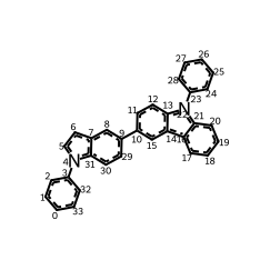 c1ccc(-n2ccc3cc(-c4ccc5c(c4)c4ccccc4n5-c4ccccc4)ccc32)cc1